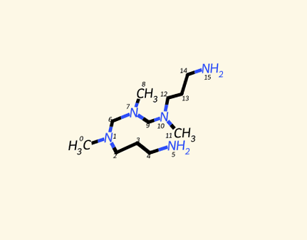 CN(CCCN)CN(C)CN(C)CCCN